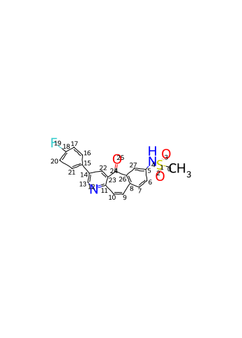 CS(=O)(=O)Nc1ccc2ccc3ncc(-c4ccc(F)cc4)cc3c(=O)c2c1